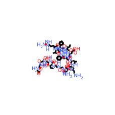 CC[C@H](C)[C@H](NC(=O)[C@H](Cc1ccccc1)NC(=O)[C@H](CC(C)C)NC(=O)[C@@H](N)CCCNC(=N)N)C(=O)N[C@@H](CCC(=O)O)C(=O)N[C@@H](Cc1c[nH]c2ccccc12)C(=O)N[C@@H](CC(C)C)C(=O)N[C@@H](CCCCN)C(=O)N[C@@H](CC(N)=O)C(=O)NCC(=O)NCC(=O)N1CCC[C@H]1C(=O)N[C@@H](CO)C(=O)N[C@@H](CO)C(=O)NCC(=O)N[C@@H](C)[C]=O